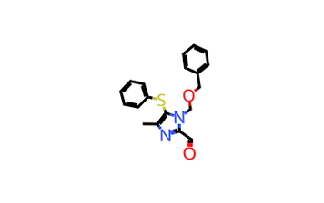 Cc1nc(C=O)n(COCc2ccccc2)c1Sc1ccccc1